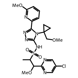 COCC1(n2c(NS(=O)(=O)C(C)C(OC)c3ncc(Cl)cn3)nnc2-c2cccc(OC)n2)CC1